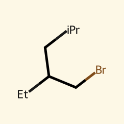 CCC(CBr)CC(C)C